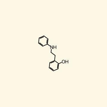 Oc1ccccc1CCNc1ccccc1